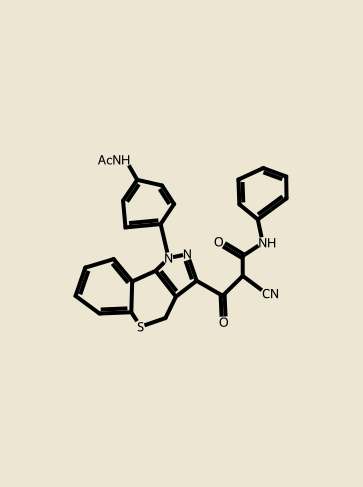 CC(=O)Nc1ccc(-n2nc(C(=O)C(C#N)C(=O)Nc3ccccc3)c3c2-c2ccccc2SC3)cc1